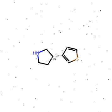 c1cc([C@@H]2CCNC2)cs1